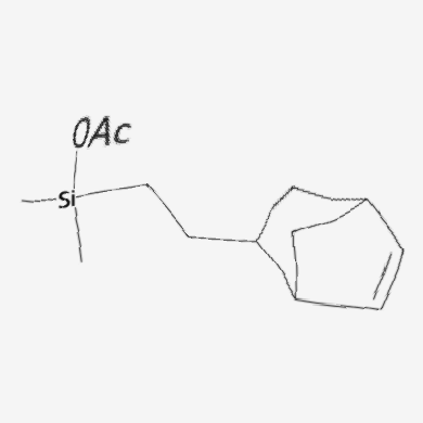 CC(=O)O[Si](C)(C)CCC1CC2C=CC1C2